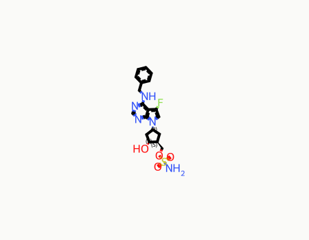 NS(=O)(=O)OC[C@@H]1C[C@@H](n2cc(F)c3c(NCc4ccccc4)ncnc32)C[C@@H]1O